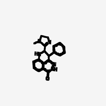 CN1CCN=C1C1Nc2cccc3c(=O)[nH]nc(c23)C1c1ccccc1